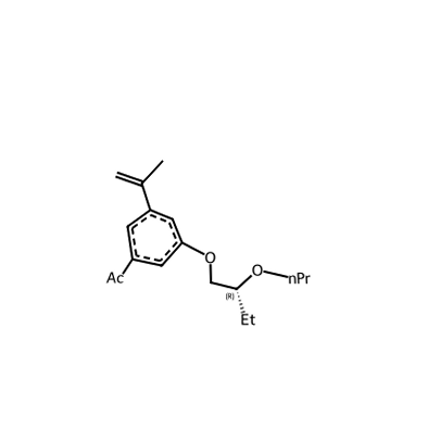 C=C(C)c1cc(OC[C@@H](CC)OCCC)cc(C(C)=O)c1